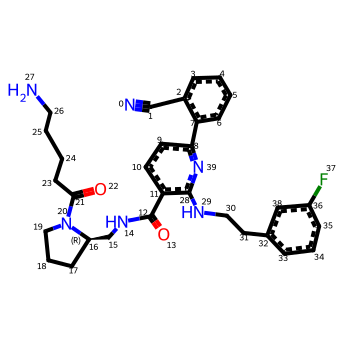 N#Cc1ccccc1-c1ccc(C(=O)NC[C@H]2CCCN2C(=O)CCCCN)c(NCCc2cccc(F)c2)n1